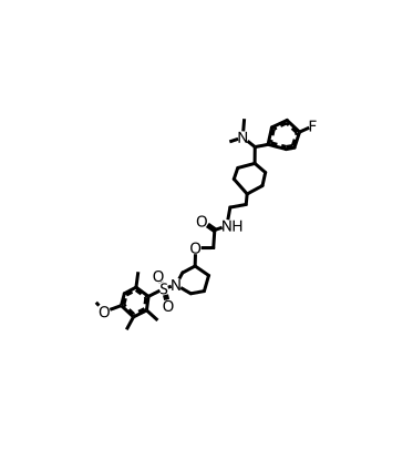 COc1cc(C)c(S(=O)(=O)N2CCCC(OCC(=O)NCCC3CCC(C(c4ccc(F)cc4)N(C)C)CC3)C2)c(C)c1C